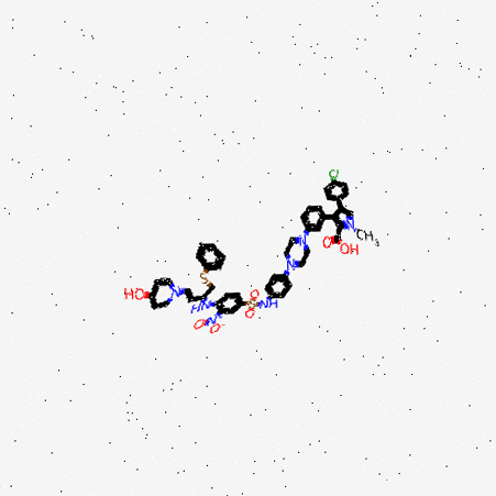 Cn1cc(-c2ccc(Cl)cc2)c(-c2cccc(N3CCN(c4ccc(NS(=O)(=O)c5ccc(NC(CCN6CCC(O)CC6)CSc6ccccc6)c([N+](=O)[O-])c5)cc4)CC3)c2)c1C(=O)O